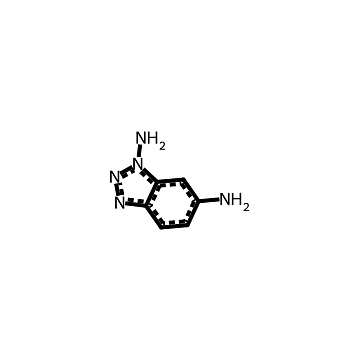 Nc1ccc2nnn(N)c2c1